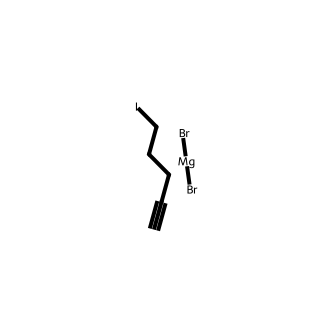 [Br][Mg][Br].[C]#CCCCI